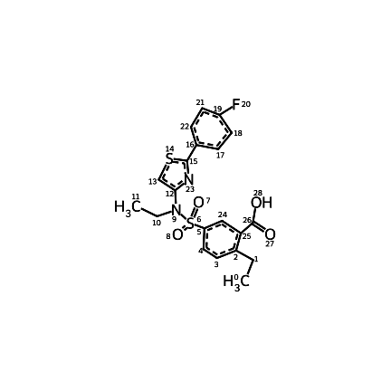 CCc1ccc(S(=O)(=O)N(CC)c2csc(-c3ccc(F)cc3)n2)cc1C(=O)O